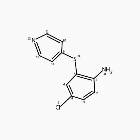 Nc1ccc(Cl)cc1Sc1ccncc1